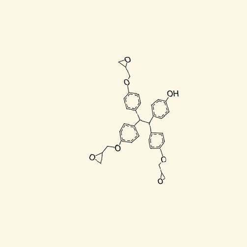 Oc1ccc(C(c2ccc(OCC3CO3)cc2)C(c2ccc(OCC3CO3)cc2)c2ccc(OCC3CO3)cc2)cc1